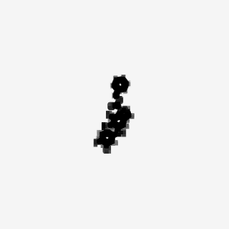 O=C(OCc1ccccc1)n1ncc2cc(Nc3ccc(F)c(Cl)c3)c(Br)c(F)c21